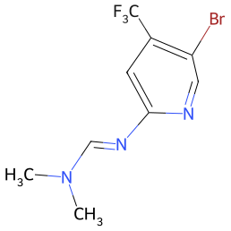 CN(C)C=Nc1cc(C(F)(F)F)c(Br)cn1